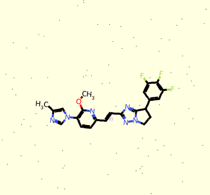 COc1nc(/C=C/c2nc3n(n2)CCC3c2cc(F)c(F)c(F)c2)ccc1-n1cnc(C)c1